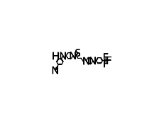 N#Cc1ccc(NC2CCN(C(=S)CCCN3CCN(c4ccc(C(F)(F)F)cc4)CC3)CC2)cc1